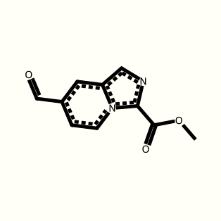 COC(=O)c1ncc2cc(C=O)ccn12